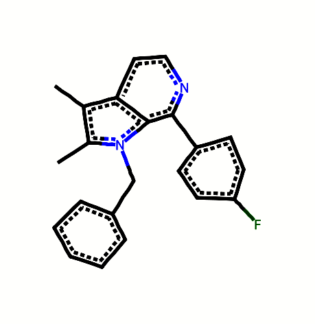 Cc1c(C)n(Cc2ccccc2)c2c(-c3ccc(F)cc3)nccc12